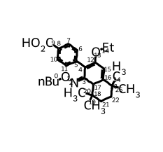 CCCCON=C1C(c2ccc(C(=O)O)cc2)=C(OCC)C=C2C1C(C)(C)CCC2(C)C